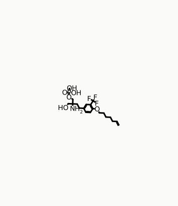 C=CCCCCCOc1ccc(CCC(N)(CO)COP(=O)(O)O)cc1C(F)(F)F